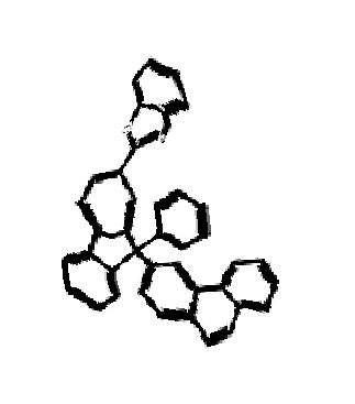 c1ccc(C2(c3ccc4ccc5ccccc5c4c3)c3ccccc3-c3ccc(-c4nc5ccccc5o4)cc32)cc1